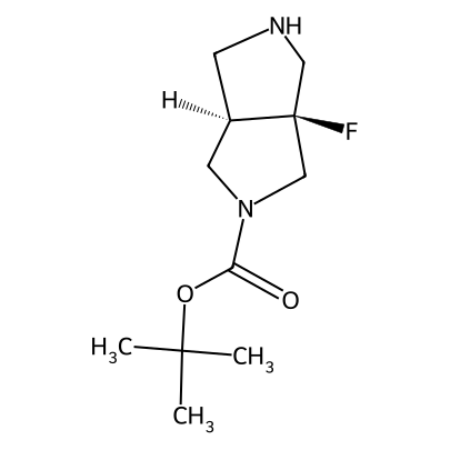 CC(C)(C)OC(=O)N1C[C@H]2CNC[C@]2(F)C1